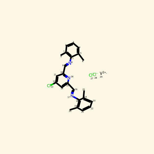 Cc1cccc(C)c1N=Cc1cc(Cl)cc(C=Nc2c(C)cccc2C)n1.[Cl-].[Cl-].[V+2]